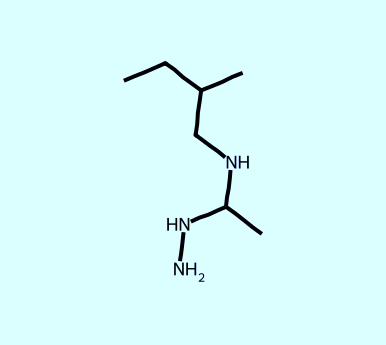 CCC(C)CNC(C)NN